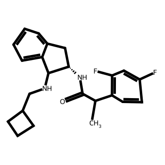 CC(C(=O)N[C@H]1Cc2ccccc2C1NCC1CCC1)c1ccc(F)cc1F